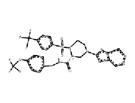 O=C(NCc1ccc(OC(F)(F)F)cc1)[C@H]1CN(c2nc3cnncc3s2)CCN1S(=O)(=O)c1ccc(C(F)(F)F)cc1